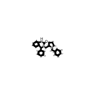 O=C1Nc2ccccc2C(c2ccccc2)N1CC1CCCN1Cc1ccccc1